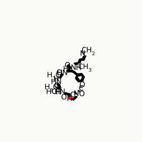 C=N/C=C\C=C(/C)CNC(=O)[C@@H]1Cc2ccc(cc2)OCC(=O)N2CCC[C@@H](C2)C(=O)N[C@@H]([C@@H](C)O)C(=O)N[C@@H](C)C(=O)N1